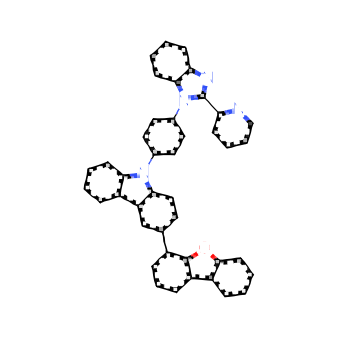 c1ccc(-c2nc3ccccc3n2-c2ccc(-n3c4ccccc4c4cc(-c5cccc6c5oc5ccccc56)ccc43)cc2)nc1